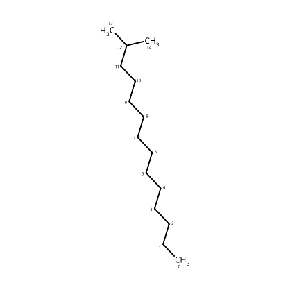 CCCCCCCCCC[CH]CC(C)C